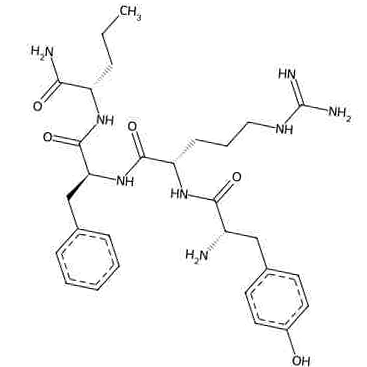 CCC[C@H](NC(=O)[C@H](Cc1ccccc1)NC(=O)[C@H](CCCNC(=N)N)NC(=O)[C@@H](N)Cc1ccc(O)cc1)C(N)=O